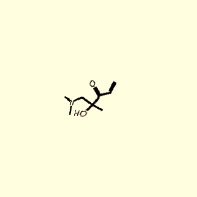 C=CC(=O)C(C)(O)CN(C)C